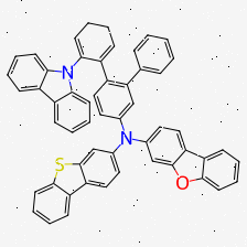 C1=C(c2ccc(N(c3ccc4c(c3)oc3ccccc34)c3ccc4c(c3)sc3ccccc34)cc2-c2ccccc2)C(n2c3ccccc3c3ccccc32)=CCC1